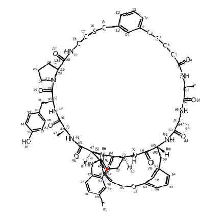 C[C@@H]1NC(=O)CCSCc2cccc(c2)CSCCNC(=O)[C@]2(C)CCCN2C(=O)[C@H](Cc2ccc(O)cc2)NC(=O)[C@H](C)NC(=O)[C@@H]2C/C=C\COc3cccc(c3)C[C@@H](NC(=O)[C@@H](C)NC1=O)C(=O)N[C@@H](Cc1c[nH]c3ccc(F)cc13)C(=O)N2